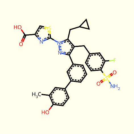 Cc1cc(-c2cccc(-c3nn(-c4nc(C(=O)O)cs4)c(CC4CC4)c3Cc3ccc(S(N)(=O)=O)c(F)c3)c2)ccc1O